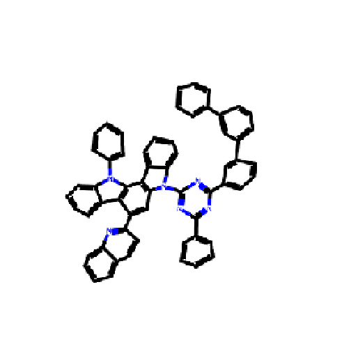 c1ccc(-c2cccc(-c3cccc(-c4nc(-c5ccccc5)nc(-n5c6ccccc6c6c5cc(-c5ccc7ccccc7n5)c5c7ccccc7n(-c7ccccc7)c56)n4)c3)c2)cc1